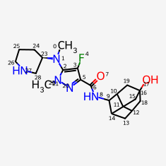 CN(c1c(F)c(C(=O)NC2C3CC4CC2CC(O)(C4)C3)nn1C)[C@@H]1CCCNC1